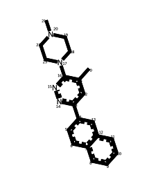 Cc1cc(-c2ccc3ccccc3c2)nnc1N1CCN(C)CC1